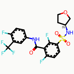 O=C(Nc1ccc(F)c(C(F)(F)F)c1)c1c(F)ccc(S(=O)(=O)N[C@H]2CCOC2)c1F